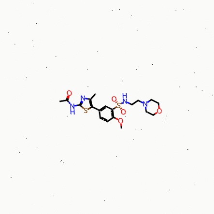 COc1ccc(-c2sc(NC(C)=O)nc2C)cc1S(=O)(=O)NCCN1CCOCC1